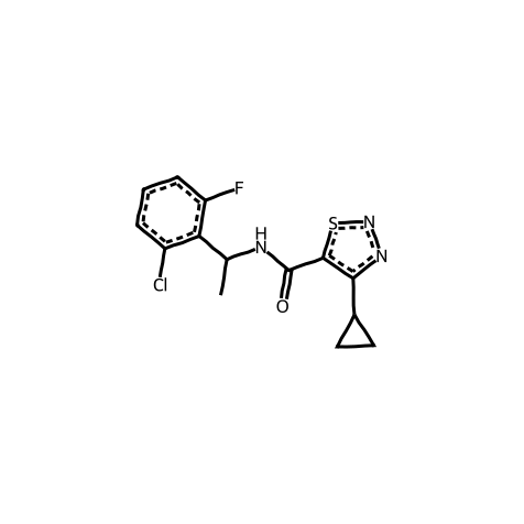 CC(NC(=O)c1snnc1C1CC1)c1c(F)cccc1Cl